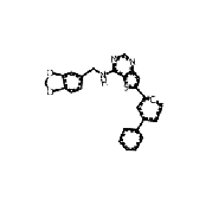 c1ccc(-c2cccc(-c3cc4ncnc(NCc5ccc6c(c5)OCO6)c4s3)c2)cc1